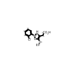 CCOC1=C(CC(=O)O)NN(c2ccccc2Cl)O1